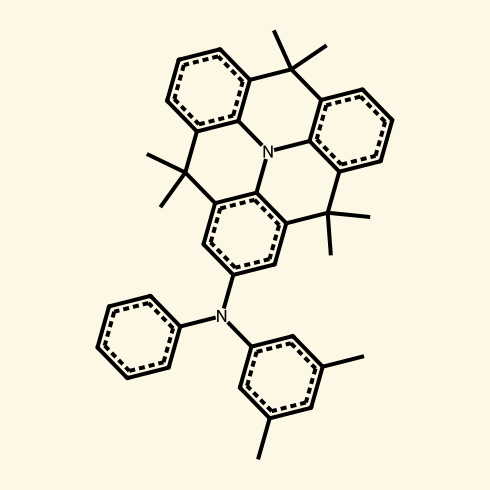 Cc1cc(C)cc(N(c2ccccc2)c2cc3c4c(c2)C(C)(C)c2cccc5c2N4c2c(cccc2C3(C)C)C5(C)C)c1